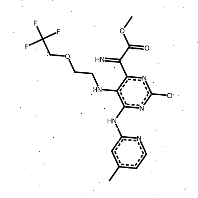 COC(=O)C(=N)c1nc(Cl)nc(Nc2cc(C)ccn2)c1NCCOCC(F)(F)F